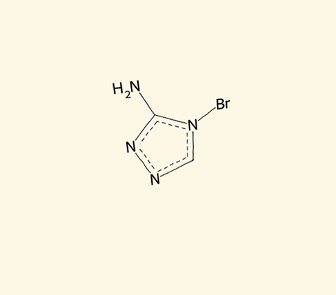 Nc1nncn1Br